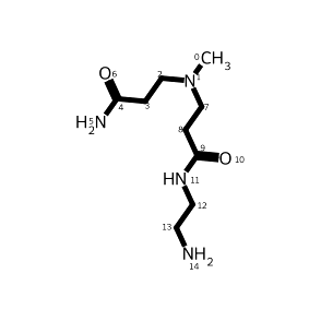 CN(CCC(N)=O)CCC(=O)NCCN